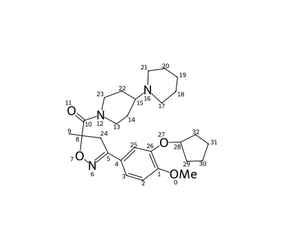 COc1ccc(C2=NOC(C)(C(=O)N3CCC(N4CCCCC4)CC3)C2)cc1OC1CCCC1